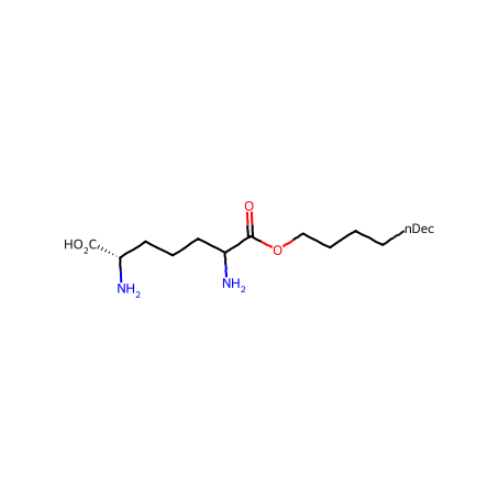 CCCCCCCCCCCCCCOC(=O)C(N)CCC[C@H](N)C(=O)O